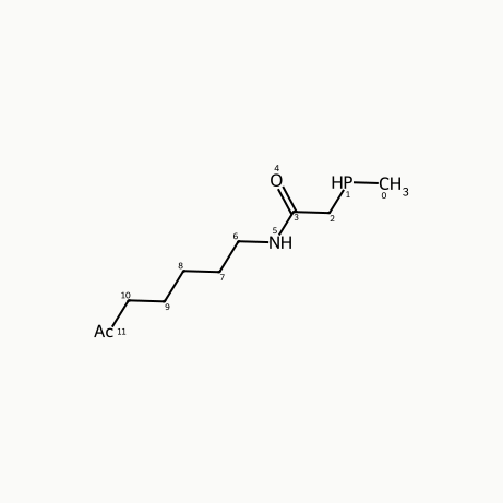 CPCC(=O)NCCCCCC(C)=O